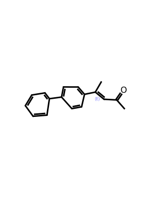 CC(=O)/C=C(\C)c1ccc(-c2ccccc2)cc1